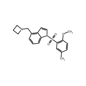 COc1ccc(C)cc1S(=O)(=O)n1ccc2c(CN3CCC3)cccc21